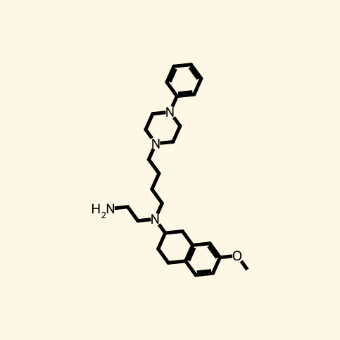 COc1ccc2c(c1)CC(N(CCN)CCCCN1CCN(c3ccccc3)CC1)CC2